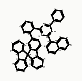 c1ccc(-c2nc(-c3ccccc3-c3ccc4c(c3)C3(c5ccccc5-c5ccccc53)c3ccccc3-4)nc(-c3cccc4ccccc34)n2)cc1